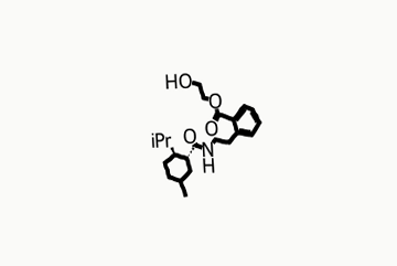 CC1CC[C@@H](C(C)C)[C@H](C(=O)NCCc2ccccc2C(=O)OCCO)C1